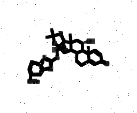 COc1ccc2sc(SCC(=O)[C@@]34OC(C)(C)O[C@@H]3CC3C5CCC6=CC(=O)C=CC6(C)C5[C@@H](O)CC34C)nc2c1